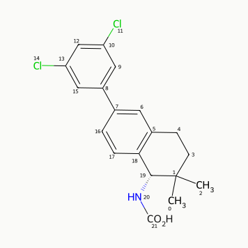 CC1(C)CCc2cc(-c3cc(Cl)cc(Cl)c3)ccc2[C@H]1NC(=O)O